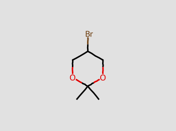 CC1(C)OCC(Br)CO1